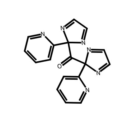 O=C(C1(c2ccccn2)N=CC=N1)C1(c2ccccn2)N=CC=N1